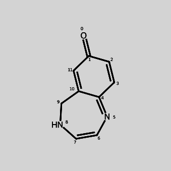 O=C1C=CC2=NC=CNCC2=C1